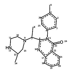 Cc1ccc(-n2c(C(C)N3CCNC(C)C3)nc3ccccc3c2=O)cc1